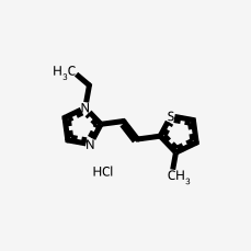 CCn1ccnc1C=Cc1sccc1C.Cl